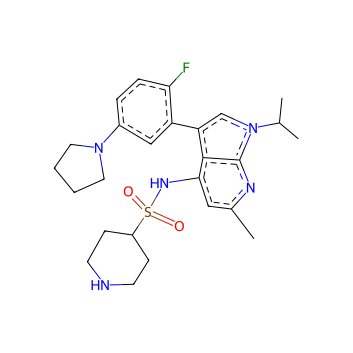 Cc1cc(NS(=O)(=O)C2CCNCC2)c2c(-c3cc(N4CCCC4)ccc3F)cn(C(C)C)c2n1